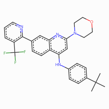 CC(C)(C)c1ccc(Nc2cc(N3CCOCC3)nc3cc(-c4ncccc4C(F)(F)F)ccc23)cc1